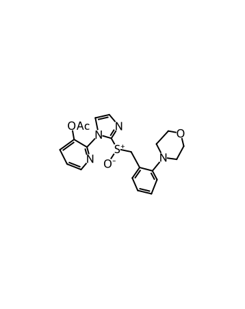 CC(=O)Oc1cccnc1-n1ccnc1[S+]([O-])Cc1ccccc1N1CCOCC1